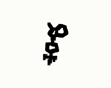 Cc1cn(-c2ccc(C(F)(F)F)cc2)c2ccccc12